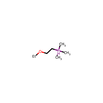 CCOCC[PH](C)(C)C